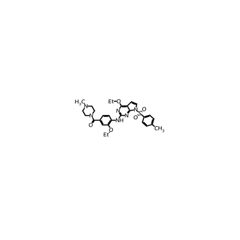 CCOc1cc(C(=O)N2CCN(C)CC2)ccc1Nc1nc(OCC)c2ccn(S(=O)(=O)c3ccc(C)cc3)c2n1